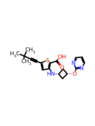 CC(C)(C)C#Cc1cc(N[C@H]2C[C@@H](Oc3ncccn3)C2)c(C(=O)O)s1